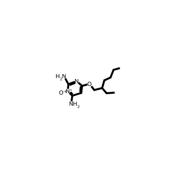 CCCCC(CC)COc1cc(N)[n+]([O-])c(N)n1